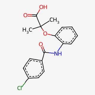 CC(C)(Oc1ccccc1NC(=O)c1ccc(Cl)cc1)C(=O)O